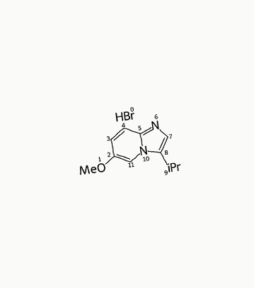 Br.COc1ccc2ncc(C(C)C)n2c1